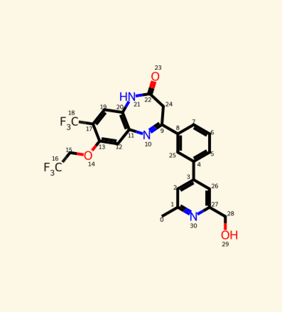 Cc1cc(-c2cccc(C3=Nc4cc(OCC(F)(F)F)c(C(F)(F)F)cc4NC(=O)C3)c2)cc(CO)n1